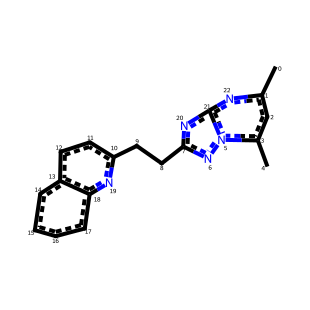 Cc1cc(C)n2nc(CCc3ccc4ccccc4n3)nc2n1